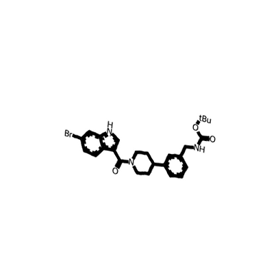 CC(C)(C)OC(=O)NCc1cccc(C2CCN(C(=O)c3c[nH]c4cc(Br)ccc34)CC2)c1